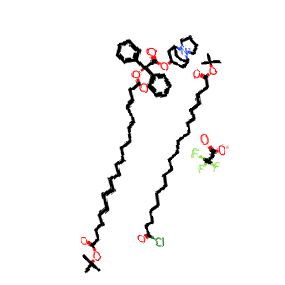 CC(C)(C)OC(=O)CCCCCCCCCCCCCCCCCCC(=O)Cl.CC(C)(C)OC(=O)CCCCCCCCCCCCCCCCCCC(=O)OC(C(=O)OC1CC2CCC(C1)[N+]21CCCC1)(c1ccccc1)c1ccccc1.O=C([O-])C(F)(F)F